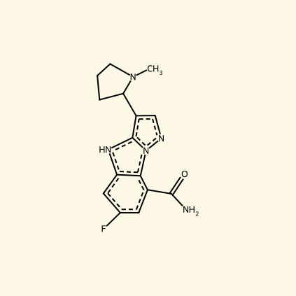 CN1CCCC1c1cnn2c1[nH]c1cc(F)cc(C(N)=O)c12